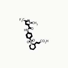 Cn1nc(C(F)(F)F)cc1C(=O)Nc1ccc(S(=O)(=O)N2CCCCC2C=CC(=O)O)cc1